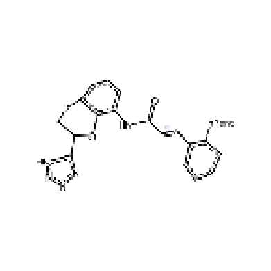 CCCCCc1ccccc1/C=C/C(=O)Nc1cccc2c1OC(c1nnn[nH]1)CO2